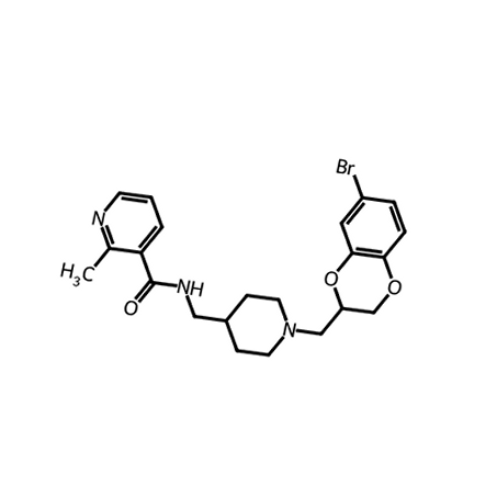 Cc1ncccc1C(=O)NCC1CCN(CC2COc3ccc(Br)cc3O2)CC1